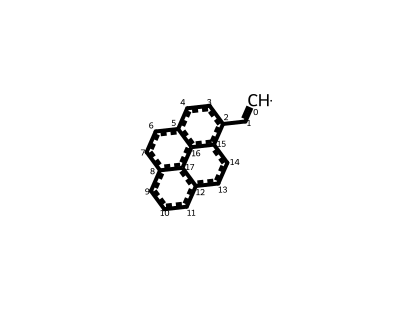 [CH]=Cc1ccc2ccc3cccc4ccc1c2c34